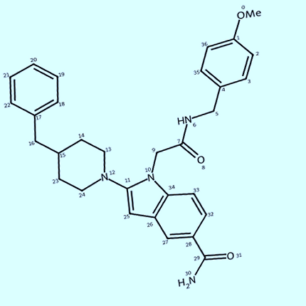 COc1ccc(CNC(=O)Cn2c(N3CCC(Cc4ccccc4)CC3)cc3cc(C(N)=O)ccc32)cc1